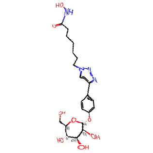 O=C(CCCCCCn1cc(-c2ccc(O[C@H]3O[C@H](CO)[C@@H](O)[C@H](O)[C@@H]3O)cc2)nn1)NO